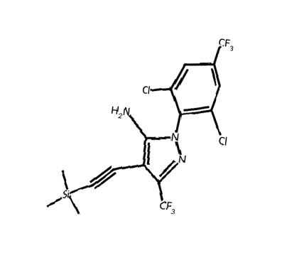 C[Si](C)(C)C#Cc1c(C(F)(F)F)nn(-c2c(Cl)cc(C(F)(F)F)cc2Cl)c1N